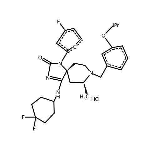 CC(C)Oc1cccc(CN2CC[C@@]3(C[C@@H]2C)C(NC2CCC(F)(F)CC2)=NC(=O)N3c2cccc(F)c2)c1.Cl